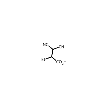 CCC(C(=O)O)C(C#N)C#N